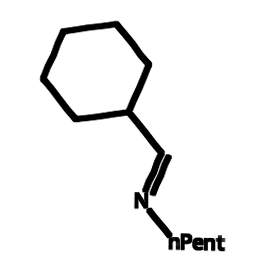 CCCCC/N=C/C1CCCCC1